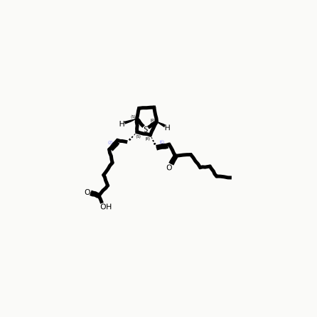 CCCCCC(=O)/C=C/[C@@H]1[C@H](C/C=C\CCCC(=O)O)[C@@H]2CC[C@H]1S2